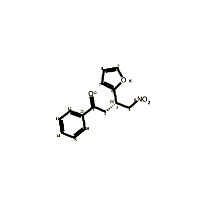 O=C(C[C@@H](C[N+](=O)[O-])c1ccco1)c1ccccc1